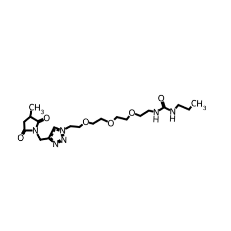 CCCNC(=O)NCCOCCOCCOCCn1cc(CN2C(=O)CC(C)C2=O)nn1